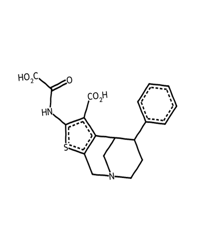 O=C(O)C(=O)Nc1sc2c(c1C(=O)O)C1CN(CCC1c1ccccc1)C2